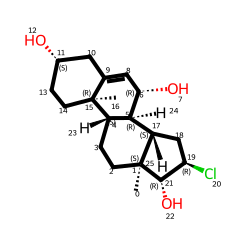 C[C@]12CC[C@H]3[C@@H]([C@@H](O)C=C4C[C@@H](O)CC[C@@]43C)[C@@H]1C[C@@H](Cl)[C@@H]2O